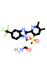 Cc1cc(S(C)(=O)=O)c(-c2nc3cc(C(F)(F)F)ccc3n2C)nc1C.NC=O